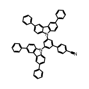 N#Cc1ccc(-c2cc(-n3c4ccc(-c5ccccc5)cc4c4cc(-c5ccccc5)ccc43)cc(-n3c4ccc(-c5ccccc5)cc4c4cc(-c5ccccc5)ccc43)c2)cc1